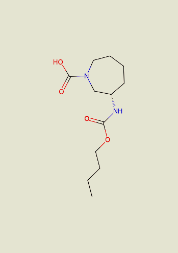 CCCCOC(=O)N[C@H]1CCCCN(C(=O)O)C1